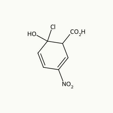 O=C(O)C1C=C([N+](=O)[O-])C=CC1(O)Cl